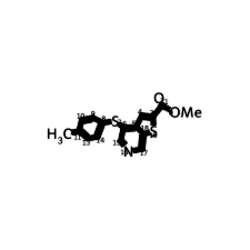 COC(=O)c1cc2c(Sc3ccc(C)cc3)cncc2s1